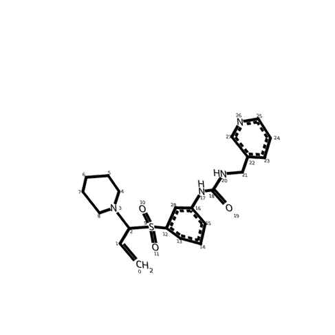 C=CC(N1CCCCC1)S(=O)(=O)c1cccc(NC(=O)NCc2cccnc2)c1